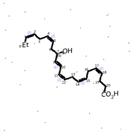 CC/C=C\C/C=C\C[C@@H](O)/C=C/C=C\C/C=C\C/C=C\CCC(=O)O